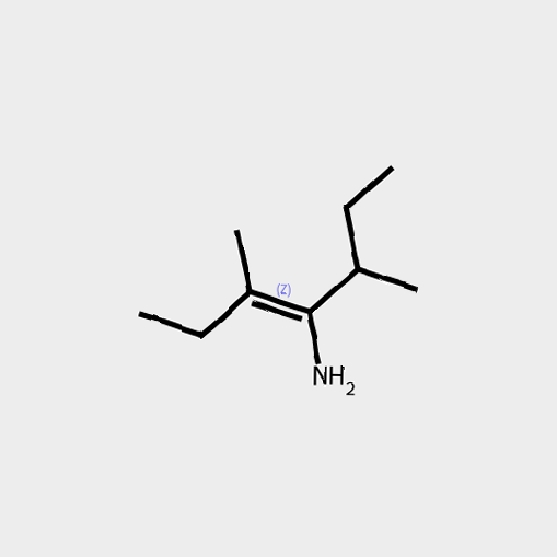 CC/C(C)=C(\N)C(C)CC